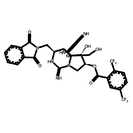 N=C1NC2[C@H](CN3C(=O)c4ccccc4C3=O)NC(=N)N3C[C@H](OC(=O)c4cc(C(F)(F)F)ccc4C(F)(F)F)[C@@H](O)C23N1CO